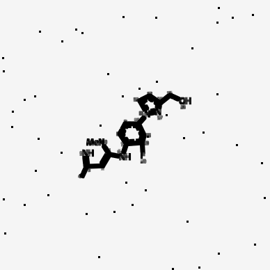 CN/C(=C\C(C)=N)Nc1ccc(-n2ccc(CO)n2)cc1F